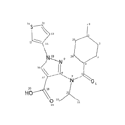 CC1CCC(C(=O)N(c2nn(-c3ccsc3)cc2C(=O)O)C(C)C)CC1